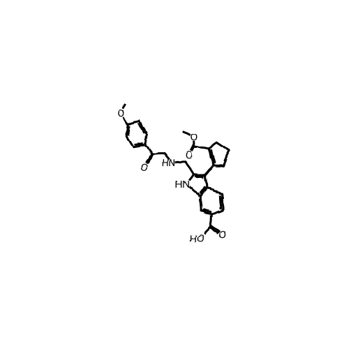 COC(=O)C1=C(c2c(CNCC(=O)c3ccc(OC)cc3)[nH]c3cc(C(=O)O)ccc23)CCC1